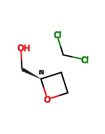 ClCCl.OC[C@@H]1CCO1